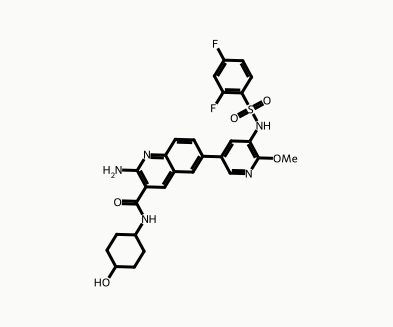 COc1ncc(-c2ccc3nc(N)c(C(=O)NC4CCC(O)CC4)cc3c2)cc1NS(=O)(=O)c1ccc(F)cc1F